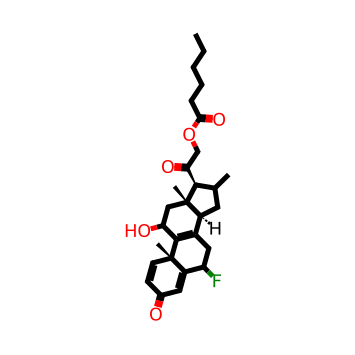 CCCCCC(=O)OCC(=O)[C@H]1C(C)C[C@H]2C3=C(C(O)C[C@@]21C)[C@@]1(C)C=CC(=O)C=C1C(F)C3